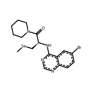 C[Se]C[C@H](Nc1ncnc2ccc(Br)cc12)C(=O)N1CCCCC1